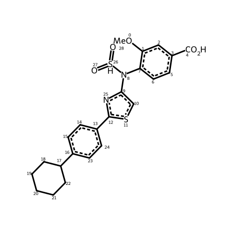 COc1cc(C(=O)O)ccc1N(c1csc(-c2ccc(C3CCCCC3)cc2)n1)[SH](=O)=O